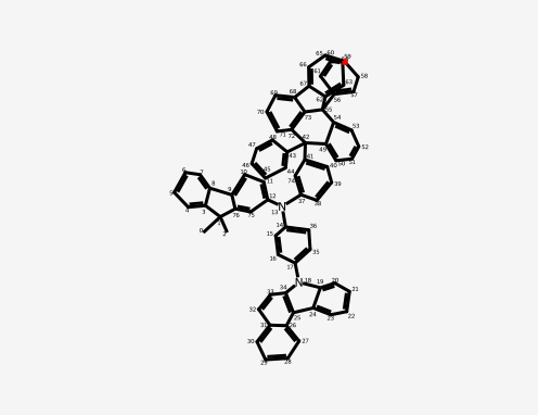 CC1(C)c2ccccc2-c2ccc(N(c3ccc(-n4c5ccccc5c5c6ccccc6ccc54)cc3)c3cccc(C4(c5ccccc5)c5ccccc5C5(C6=CCCC=C6)c6ccccc6-c6cccc4c65)c3)cc21